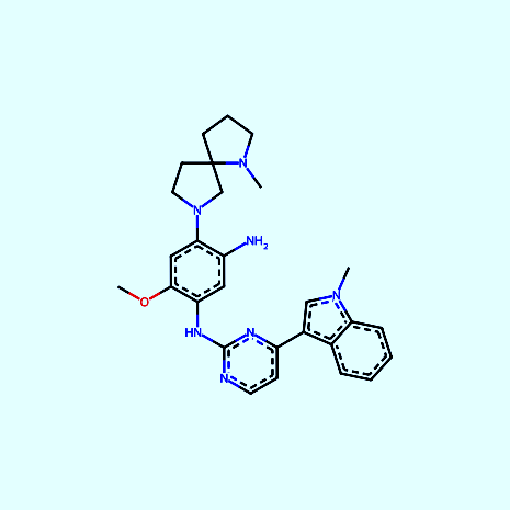 COc1cc(N2CCC3(CCCN3C)C2)c(N)cc1Nc1nccc(-c2cn(C)c3ccccc23)n1